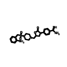 N=C(N)c1ccc(N2CC(CN3CCN(S(=O)(=O)Cc4ccccc4N)CC3)OC2=O)cc1